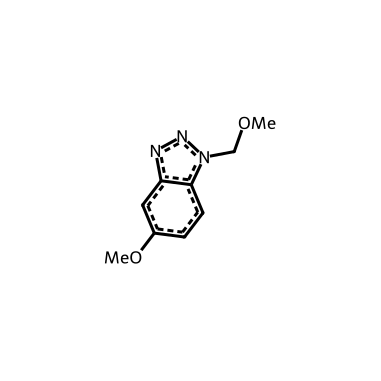 COCn1nnc2cc(OC)ccc21